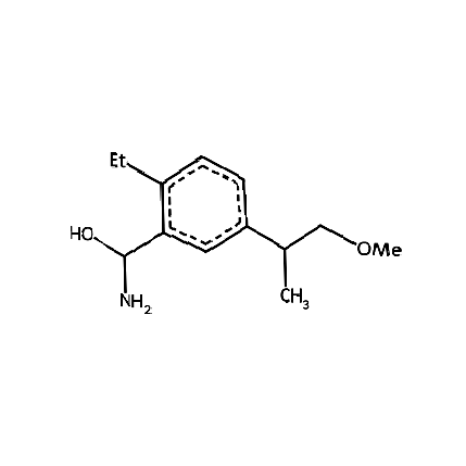 CCc1ccc(C(C)COC)cc1C(N)O